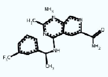 Cc1nc(NC(C)c2cccc(C(F)(F)F)c2)c2cc(C(N)=O)ncc2n1.N